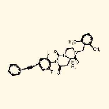 Cc1cccc(C)c1CN1CCN2C(=O)N(c3c(F)cc(C#Cc4ccccc4)cc3F)C(=O)C[C@]2(C)C1=O